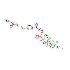 CCC(C)C(=O)OCCOc1ccc(C(=O)C(C)(C)OC(=O)C(C)(OC(F)(F)C(C)(F)OC(F)(F)C(F)(F)C(F)(F)F)C(F)(F)F)cc1